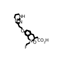 O=C(O)CC1Cc2ccc(OCCc3cn4c(n3)NCCC4)cc2CN(CCF)C1=O